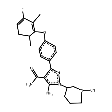 CC1=C(Oc2ccc(-c3nn(C4CCCN(C#N)C4)c(N)c3C(N)=O)cc2)C(C)CC=C1F